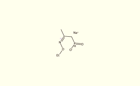 CCO/N=C(/C)C[PH](=O)[O-].[Na+]